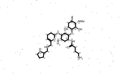 CN[C@@H]1[C@@H](O)[C@@H](O[C@@H]2[C@@H](O)[C@H](O[C@@H]3CCC=C(CNCC4CCCN4)O3)[C@@H](N)C[C@H]2NC(=O)CCCN)CC[C@H]1C